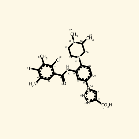 Cc1c(F)c(N)cc(C(=O)Nc2cc(-n3cc(C(=O)O)nn3)ccc2N2CCN(C)C(C)C2)c1Cl